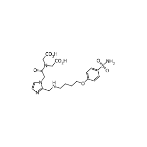 NS(=O)(=O)c1ccc(OCCCCNCc2nccn2CC(=O)N(CC(=O)O)CC(=O)O)cc1